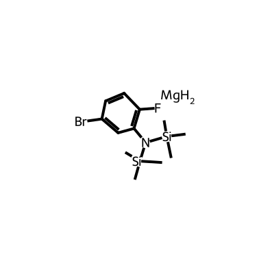 C[Si](C)(C)N(c1cc(Br)ccc1F)[Si](C)(C)C.[MgH2]